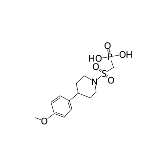 COc1ccc(C2CCN(S(=O)(=O)CP(=O)(O)O)CC2)cc1